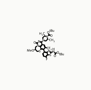 CO[C@@H]1CSc2c(-c3ccc(F)c4sc(NC(=O)OC(C)(C)C)nc34)c(C(F)(F)F)cc3c(N4C[C@@H](C)N(C(=O)OC(C)(C)C)[C@@H](C)C4)nc(=O)n(c23)C1